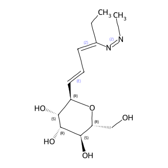 CCC(=C/C=C/[C@H]1O[C@H](CO)[C@@H](O)[C@H](O)[C@@H]1O)/N=N\C